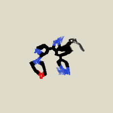 Cc1cc(-c2cn[nH]c2)cc2c(-c3ccnc(N4CCOCC4)c3)n[nH]c12